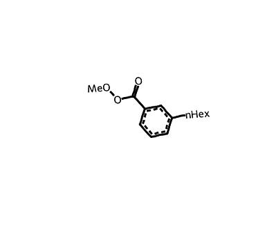 CCCCCCc1cccc(C(=O)OOC)c1